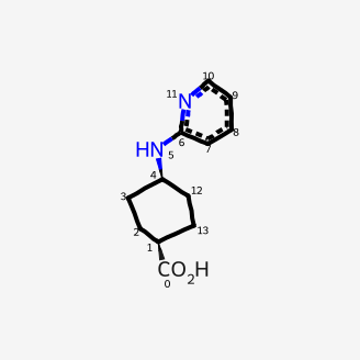 O=C(O)[C@H]1CC[C@@H](Nc2ccccn2)CC1